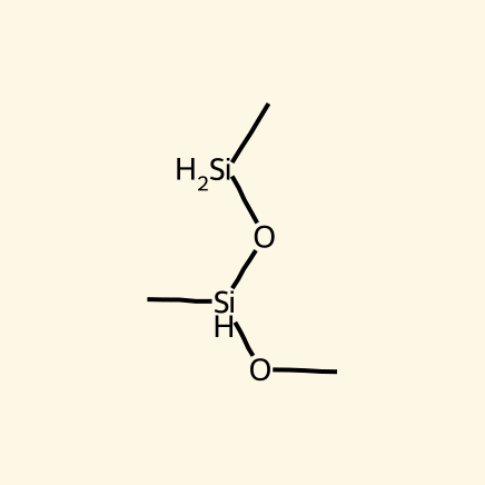 CO[SiH](C)O[SiH2]C